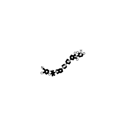 CC1(C)[C@H](Oc2ccc(C#N)c(Cl)c2)C(C)(C)[C@H]1N1Cc2ccc(N3CCN(C4CCN(c5ccc6c(c5)C(=O)N(C5CCC(=O)NC5=O)C6=O)CC4)CC3)cc2C1